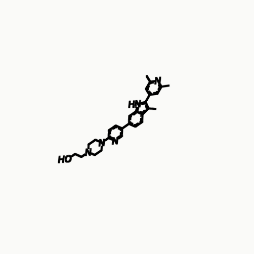 Cc1cc(-c2[nH]c3cc(-c4ccc(N5CCN(CCO)CC5)nc4)ccc3c2C)cc(C)n1